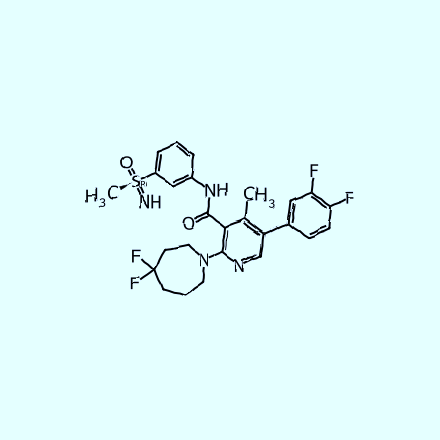 Cc1c(-c2ccc(F)c(F)c2)cnc(N2CCCC(F)(F)CC2)c1C(=O)Nc1cccc([S@](C)(=N)=O)c1